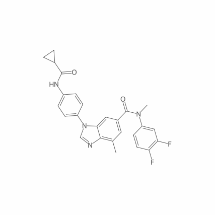 Cc1cc(C(=O)N(C)c2ccc(F)c(F)c2)cc2c1ncn2-c1ccc(NC(=O)C2CC2)cc1